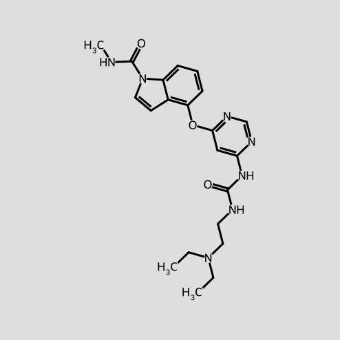 CCN(CC)CCNC(=O)Nc1cc(Oc2cccc3c2ccn3C(=O)NC)ncn1